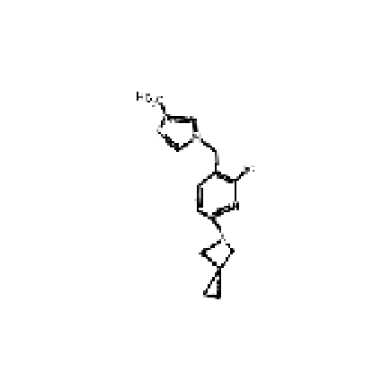 CCc1nc(N2CC3(CC3)C2)ccc1Cn1cnc(C(=O)O)c1